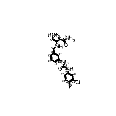 NC(=O)c1n[nH]cc1NCc1cccc(NC(=O)Nc2ccc(F)c(Cl)c2)c1